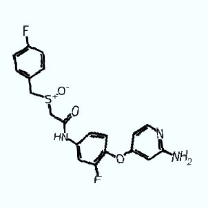 Nc1cc(Oc2ccc(NC(=O)C[S+]([O-])Cc3ccc(F)cc3)cc2F)ccn1